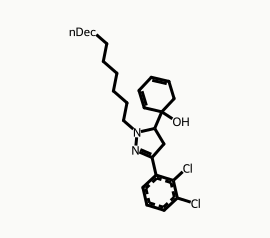 CCCCCCCCCCCCCCCCN1N=C(c2cccc(Cl)c2Cl)CC1C1(O)C=CC=CC1